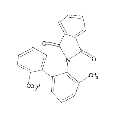 Cc1cccc(-c2ccccc2C(=O)O)c1N1C(=O)c2ccccc2C1=O